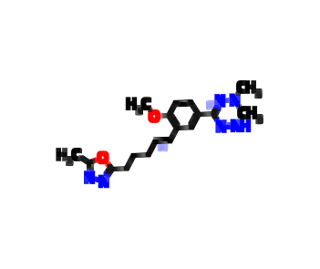 COc1ccc(/C(N=N)=N/N(C)C)cc1/C=C/CCCc1nnc(C)o1